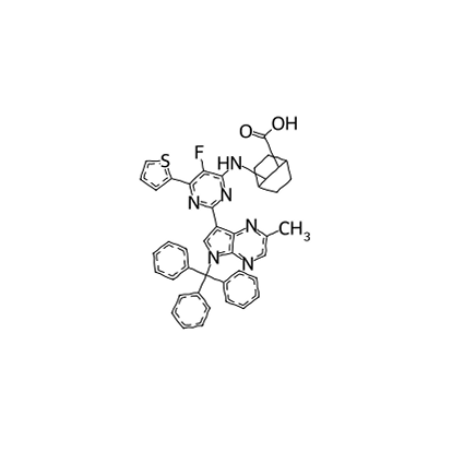 Cc1cnc2c(n1)c(-c1nc(NC3C4CCC(CC4)C3C(=O)O)c(F)c(-c3cccs3)n1)cn2C(c1ccccc1)(c1ccccc1)c1ccccc1